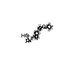 OC[C@H]1CCCN1CCn1ncc2cc(-n3ccc(OCc4ccccc4)c3)ccc21